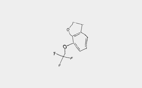 FC(F)(F)Oc1cccc2c1OC[CH]2